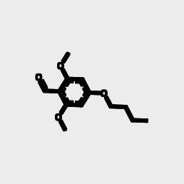 CCCCOc1cc(OC)c(C=O)c(OC)c1